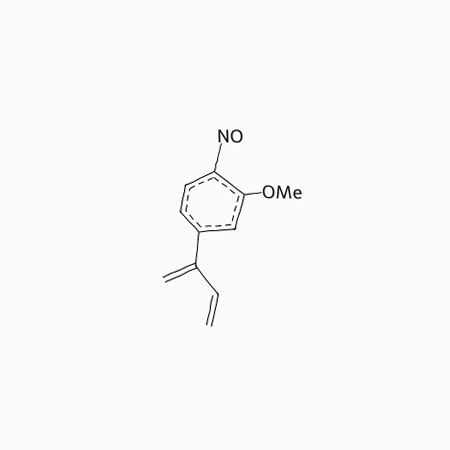 C=CC(=C)c1ccc(N=O)c(OC)c1